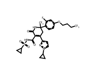 O=C1NC(c2ccc(OCCCC(F)(F)F)cc2F)(C(F)(F)F)CC(c2ccn(C3CC3)n2)=C1C(=O)NS(=O)(=O)C1CC1